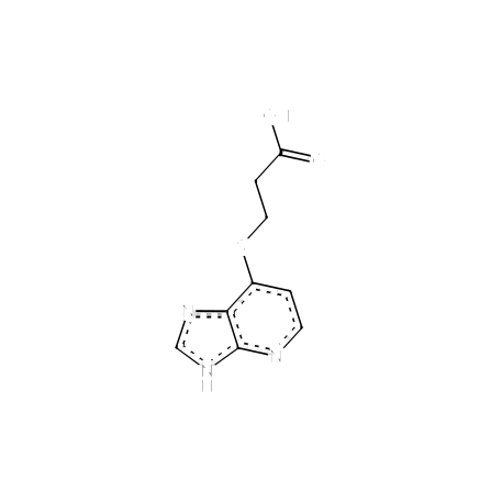 O=C(O)CCSc1ccnc2[nH]cnc12